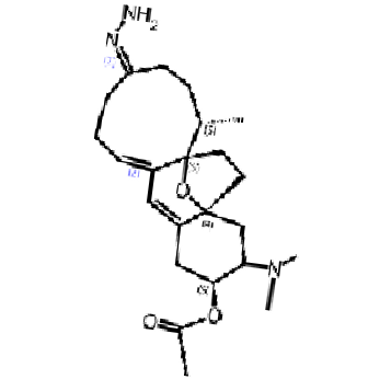 CC(=O)O[C@H]1CC2=C/C3=C/CC/C(=N/N)CC[C@H](C)[C@@]34CC[C@]2(CC1N(C)C)O4